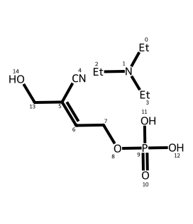 CCN(CC)CC.N#C/C(=C\COP(=O)(O)O)CO